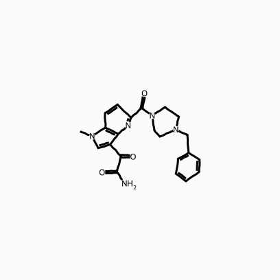 Cn1cc(C(=O)C(N)=O)c2nc(C(=O)N3CCN(Cc4ccccc4)CC3)ccc21